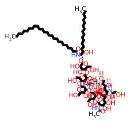 CCCCCCCC/C=C\CCCCCCCCCCCCCCCC(=O)N[C@@H](CO[C@@H]1OC(CO)[C@@H](O[C@@H]2OC(CO)[C@H](O[C@@H]3OC(CO)[C@H](O)[C@H](O[C@@H]4OC(CO)[C@H](O[C@@H]5OC(CO)[C@H](O)[C@H](O)C5NC(C)=O)[C@H](O[C@]5(C(=O)O)CC(O)[C@@H](NC(=O)CO)C([C@H](O)[C@H](O)CO)O5)C4O)C3NC(C)=O)[C@H](O)C2O)[C@H](O)C1O)[C@H](O)/C=C/CCCCCCCCCCCCC